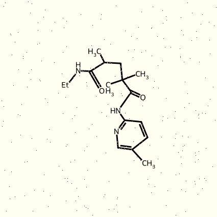 CCNC(=O)C(C)CC(C)(C)C(=O)Nc1ccc(C)cn1